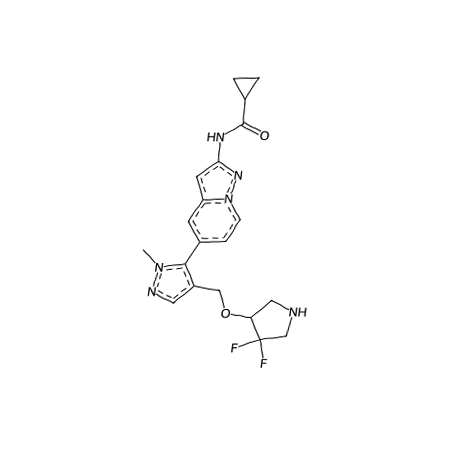 Cn1ncc(COC2CNCC2(F)F)c1-c1ccn2nc(NC(=O)C3CC3)cc2c1